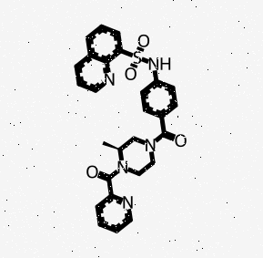 C[C@H]1CN(C(=O)c2ccc(NS(=O)(=O)c3cccc4cccnc34)cc2)CCN1C(=O)c1ccccn1